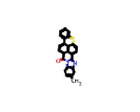 Cc1ccc2c(c1)nc1c3ccc4sc5ccccc5c5ccc(c(=O)n21)c3c45